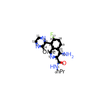 CCCNC(=O)c1ncc2c(-c3nccnc3OC)c(F)ccc2c1N